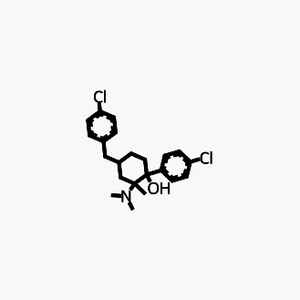 CN(C)C1(C)CC(Cc2ccc(Cl)cc2)CCC1(O)c1ccc(Cl)cc1